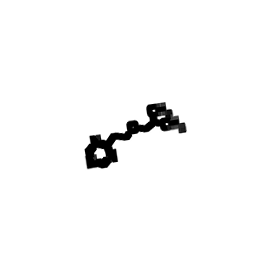 C=C(C)COCCc1ncncn1